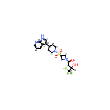 CC(O)(CC(=O)N1CC(S(=O)(=O)N2CCC(c3c[nH]c4ncccc34)CC2)C1)C(F)(F)F